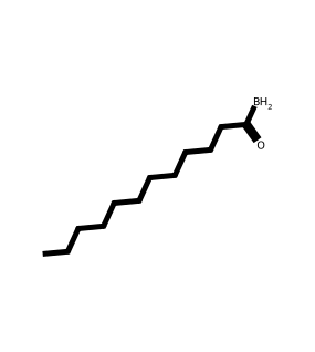 BC(=O)CCCCCCCCCCC